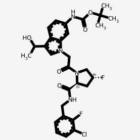 CC(O)c1cn(CC(=O)N2C[C@H](F)C[C@H]2C(=O)NCc2cccc(Cl)c2F)c2cc(NC(=O)OC(C)(C)C)ccc12